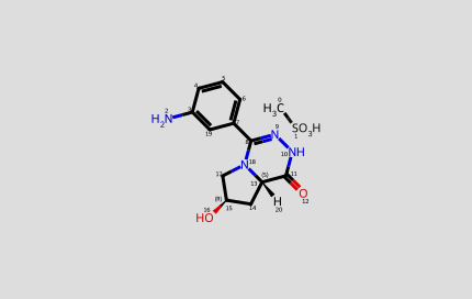 CS(=O)(=O)O.Nc1cccc(C2=NNC(=O)[C@@H]3C[C@@H](O)CN23)c1